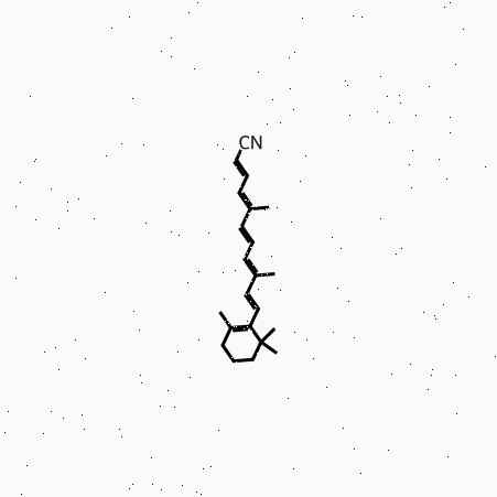 CC1=C(/C=C/C(C)=C/C=C/C(C)=C/C=C/C#N)C(C)(C)CCC1